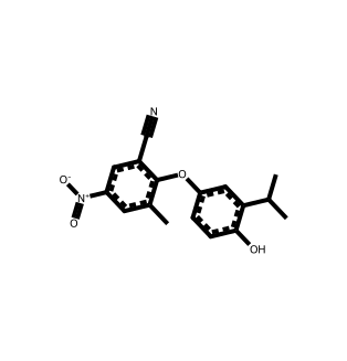 Cc1cc([N+](=O)[O-])cc(C#N)c1Oc1ccc(O)c(C(C)C)c1